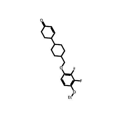 CCOc1ccc(OCC2CCC(C3C=CC(=O)CC3)CC2)c(F)c1F